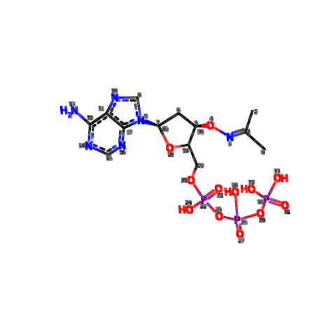 CC(C)=NO[C@@H]1C[C@H](n2cnc3c(N)ncnc32)OC1COP(=O)(O)OP(=O)(O)OP(=O)(O)O